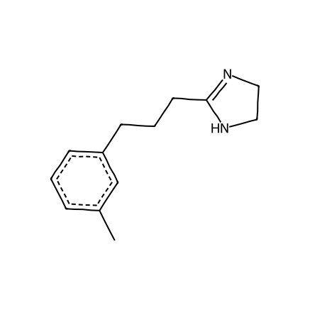 Cc1cccc(CCCC2=NCCN2)c1